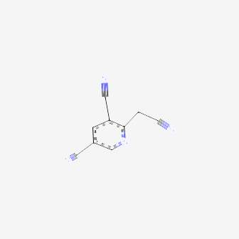 N#CCc1ncc(C#N)cc1C#N